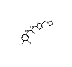 Cc1ccc(NC(=O)Nc2nc(CN3CCC3)cs2)cc1Cl